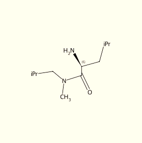 CC(C)C[C@H](N)C(=O)N(C)CC(C)C